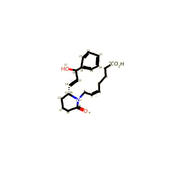 O=C(O)CCC/C=C\CN1C(=O)CCC[C@@H]1/C=C/C(O)c1ccccc1